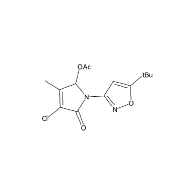 CC(=O)OC1C(C)=C(Cl)C(=O)N1c1cc(C(C)(C)C)on1